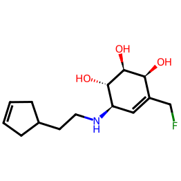 O[C@@H]1[C@@H](O)[C@@H](O)C(CF)=C[C@H]1NCCC1CC=CC1